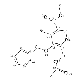 COC(=O)c1cnc(COC(C)=O)c(OCc2ccccc2)c1C